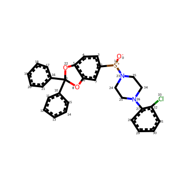 [O-][S+](c1ccc2c(c1)OC(c1ccccc1)(c1ccccc1)O2)N1CCN(c2ccccc2Cl)CC1